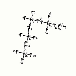 F[B-](F)(F)F.F[B-](F)(F)F.F[B-](F)(F)F.F[B-](F)(F)F.P